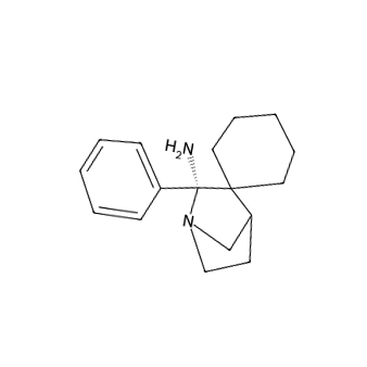 N[C@@]1(c2ccccc2)N2CCC(C2)C12CCCCC2